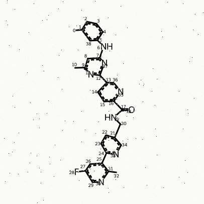 Cc1cccc(Nc2cc(C)nc(-c3ccc(C(=O)NCc4ccc(-c5cc(F)cnc5C)nc4)nc3)n2)c1